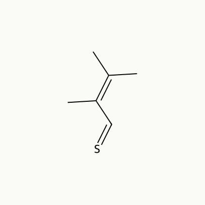 CC(C)=C(C)C=S